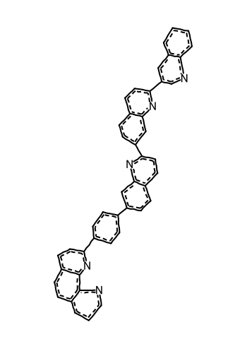 c1ccc2ncc(-c3ccc4ccc(-c5ccc6ccc(-c7ccc(-c8ccc9ccc%10cccnc%10c9n8)cc7)cc6n5)cc4n3)cc2c1